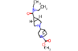 CCN(CC)C(=O)C1[C@H]2CN(C3CC4CCC3CN4C(=O)OC)C[C@@H]12